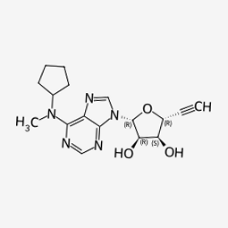 C#C[C@H]1O[C@@H](n2cnc3c(N(C)C4CCCC4)ncnc32)[C@H](O)[C@@H]1O